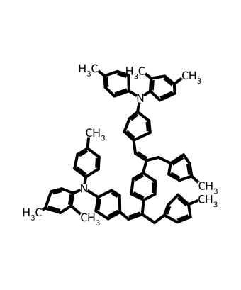 Cc1ccc(CC(=Cc2ccc(N(c3ccc(C)cc3)c3ccc(C)cc3C)cc2)c2ccc(C(=Cc3ccc(N(c4ccc(C)cc4)c4ccc(C)cc4C)cc3)Cc3ccc(C)cc3)cc2)cc1